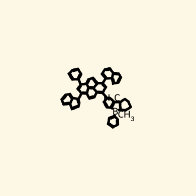 CC12CCCCC1(C)c1cc(-c3cc(-c4cccc5ccccc45)c4ccc5c(-c6ccccc6)cc(-c6cccc7ccccc67)c6ccc3c4c56)ccc1B2c1ccccc1